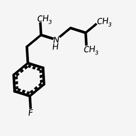 CC(C)CNC(C)Cc1ccc(F)cc1